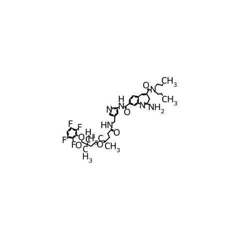 CCCN(CCC)C(=O)C1=Cc2ccc(C(=O)Nc3cncc(CNC(=O)CCC(C)(C)OCCC(C)(C)C(=O)Oc4c(F)c(F)cc(F)c4F)c3)cc2N=C(N)C1